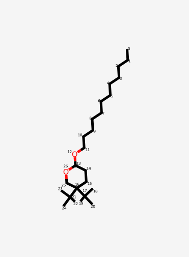 CCCCCCCCCCCCO[C]1CCC(C(C)(C)C)(C(C)(C)C)CO1